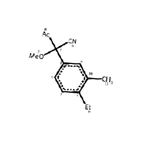 CCc1ccc(C(C#N)(OC)C(C)=O)cc1C